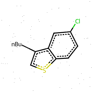 [CH2]CCCc1csc2ccc(Cl)cc12